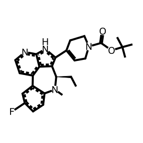 CC[C@@H]1c2c(C3=CCN(C(=O)OC(C)(C)C)CC3)[nH]c3nccc(c23)-c2cc(F)ccc2N1C